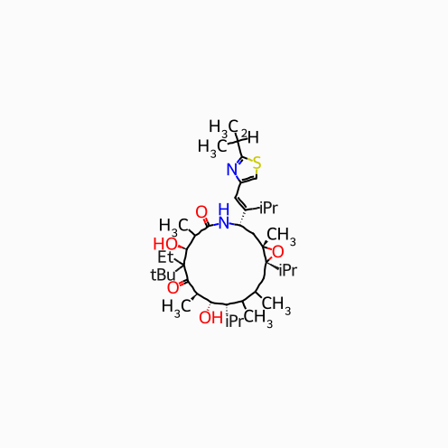 [2H]C(C)(C)c1nc(/C=C(\C(C)C)[C@@H]2C[C@]3(C)O[C@]3(C(C)C)CC(C)C(C)[C@H](C(C)C)[C@H](O)[C@@H](C)C(=O)C(CC)(C(C)(C)C)[C@@H](O)C(C)C(=O)N2)cs1